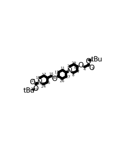 CC(C)(C)OC(=O)COC1CCN(C2CCC(OCC3CCN(C(=O)OC(C)(C)C)CC3)CC2)CC1